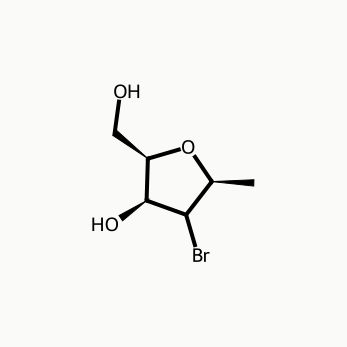 C[C@@H]1O[C@H](CO)[C@H](O)C1Br